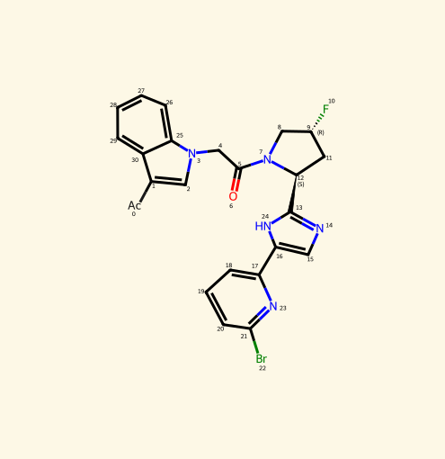 CC(=O)c1cn(CC(=O)N2C[C@H](F)C[C@H]2c2ncc(-c3cccc(Br)n3)[nH]2)c2ccccc12